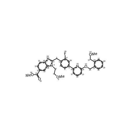 COCCn1c(Cc2ccc(-c3cccc(OCc4ccccc4COC)n3)cc2F)nc2ccc(C(=O)OC)cc21